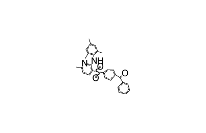 Cc1cc(C)c(Nc2nc(C)ccc2S(=O)(=O)c2ccc(C(=O)c3ccccc3)cc2)c(C)c1